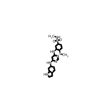 CNS(=O)(=O)c1ccc(SC)c(Nc2cc(Nc3ccc4cc[nH]c4c3)ncn2)c1